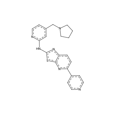 c1cc(-c2ccc3nc(Nc4cc(CN5CCCC5)ccn4)sc3n2)ccn1